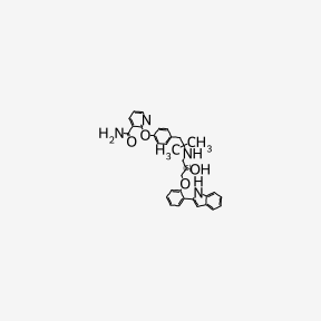 CC(C)(Cc1ccc(Oc2ncccc2C(N)=O)cc1)NC[C@H](O)COc1ccccc1-c1cc2ccccc2[nH]1